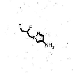 Nc1cnn(CC(F)CF)c1